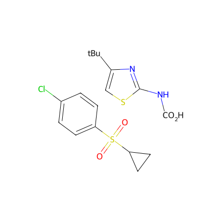 CC(C)(C)c1csc(NC(=O)O)n1.O=S(=O)(c1ccc(Cl)cc1)C1CC1